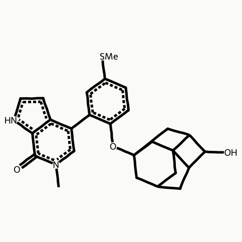 CSc1ccc(OC23CC4CC5C(O)C(C2)C5(C4)C3)c(-c2cn(C)c(=O)c3[nH]ccc23)c1